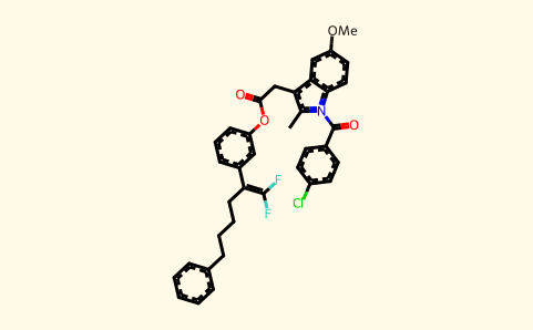 COc1ccc2c(c1)c(CC(=O)Oc1cccc(C(CCCCc3ccccc3)=C(F)F)c1)c(C)n2C(=O)c1ccc(Cl)cc1